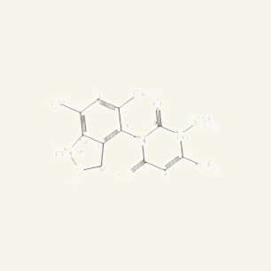 Cn1c(C(F)(F)F)cc(=O)n(-c2c(F)cc(Cl)c3c2CSN3)c1=O